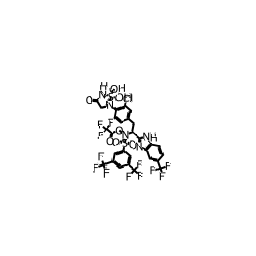 O=C1CN(c2ccc(CC(c3nc4cc(C(F)(F)F)ccc4[nH]3)N(OC(=O)C(F)(F)F)S(=O)(=O)c3cc(C(F)(F)F)cc(C(F)(F)F)c3)cc2Cl)S(O)(O)N1